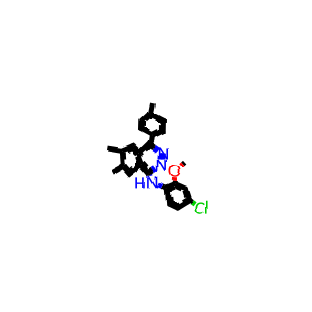 COc1cc(Cl)ccc1Nc1nnc(-c2ccc(C)cc2)c2cc(C)c(C)cc12